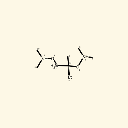 CC[C@@](C)(O[SiH](C)C)[SiH2]O[SiH](C)C